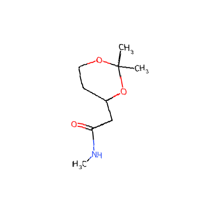 CNC(=O)CC1CCOC(C)(C)O1